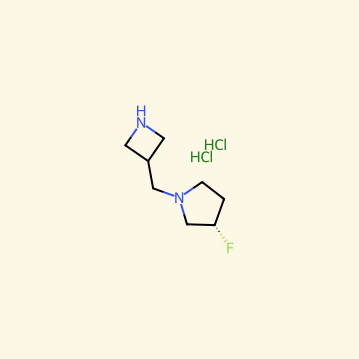 Cl.Cl.F[C@H]1CCN(CC2CNC2)C1